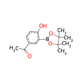 CC(=O)c1ccc(O)c(B2OC(C)(C)C(C)(C)O2)c1